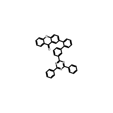 O=c1c2ccccc2oc2ccc(-c3ccccc3-c3cccc(-c4nc(-c5ccccc5)nc(-c5ccccc5)n4)c3)cc12